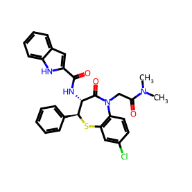 CN(C)C(=O)CN1C(=O)[C@@H](NC(=O)c2cc3ccccc3[nH]2)[C@H](c2ccccc2)Sc2cc(Cl)ccc21